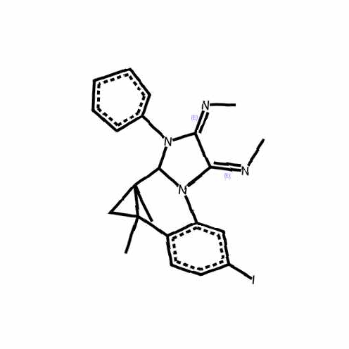 C/N=C1\C(=N/C)N2c3cc(I)ccc3C3(C)CC3(C)C2N1c1ccccc1